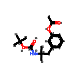 CC(=O)Oc1cccc(CC(C)(C)NC(=O)OC(C)(C)C)c1